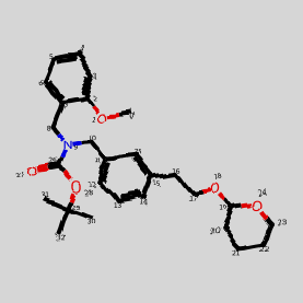 COc1ccccc1CN(Cc1cccc(CCOC2CCCCO2)c1)C(=O)OC(C)(C)C